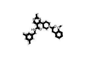 COc1ccccc1CC(=O)N1CCC(c2nc(C)ncc2C(=O)NCc2cc(C)cc(C)c2)CC1